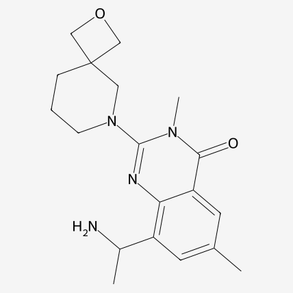 Cc1cc(C(C)N)c2nc(N3CCCC4(COC4)C3)n(C)c(=O)c2c1